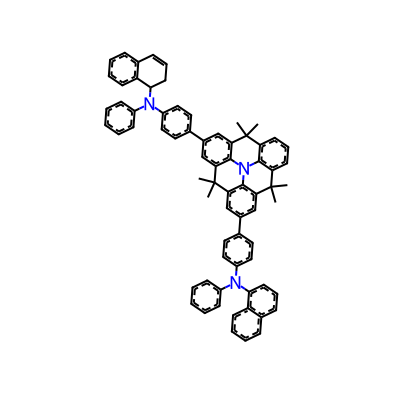 CC1(C)c2cccc3c2N2c4c1cc(-c1ccc(N(c5ccccc5)c5cccc6ccccc56)cc1)cc4C(C)(C)c1cc(-c4ccc(N(c5ccccc5)C5CC=Cc6ccccc65)cc4)cc(c12)C3(C)C